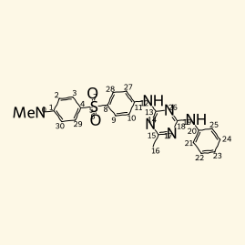 CNc1ccc(S(=O)(=O)c2ccc(Nc3nc(C)nc(Nc4ccccc4)n3)cc2)cc1